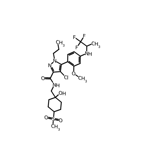 CCCn1nc(C(=O)NCC2(O)CCC(S(C)(=O)=O)CC2)c(Cl)c1-c1ccc(NC(C)C(F)(F)F)cc1OC